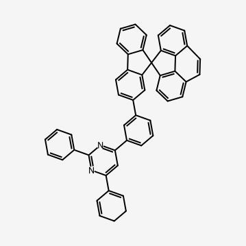 C1=CC(c2cc(-c3cccc(-c4ccc5c(c4)C4(c6ccccc6-5)c5cccc6ccc7cccc4c7c56)c3)nc(-c3ccccc3)n2)=CCC1